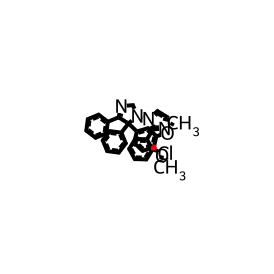 COc1ccc(C2(c3ccccc3)C(c3ccccc3)=NCN2n2ccnc2-c2ccccc2Cl)cc1OC